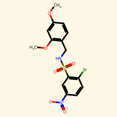 COc1ccc(CNS(=O)(=O)c2cc([N+](=O)[O-])ccc2Br)c(OC)c1